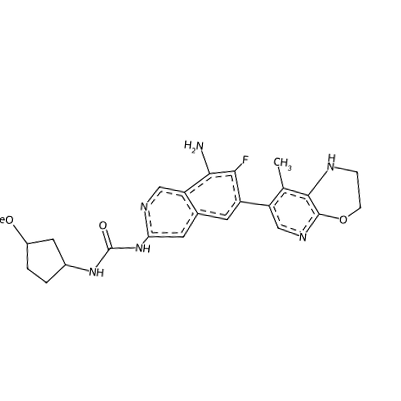 COC1CCC(NC(=O)Nc2cc3cc(-c4cnc5c(c4C)NCCO5)c(F)c(N)c3cn2)C1